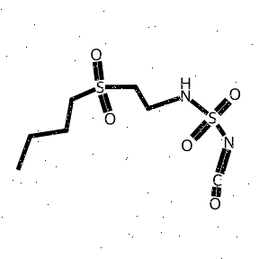 CCCCS(=O)(=O)CCNS(=O)(=O)N=C=O